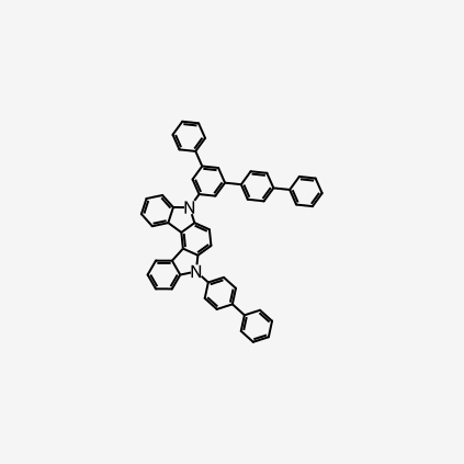 c1ccc(-c2ccc(-c3cc(-c4ccccc4)cc(-n4c5ccccc5c5c6c7ccccc7n(-c7ccc(-c8ccccc8)cc7)c6ccc54)c3)cc2)cc1